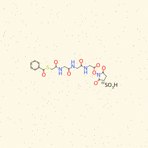 O=C(CNC(=O)CSC(=O)c1ccccc1)NCC(=O)NCC(=O)ON1C(=O)C[C@H](S(=O)(=O)O)C1=O